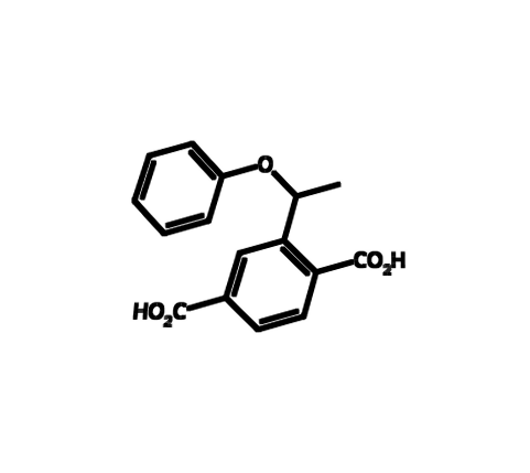 CC(Oc1ccccc1)c1cc(C(=O)O)ccc1C(=O)O